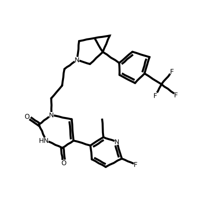 Cc1nc(F)ccc1-c1cn(CCCN2CC3CC3(c3ccc(C(F)(F)F)cc3)C2)c(=O)[nH]c1=O